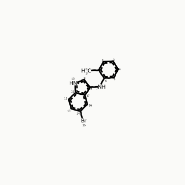 Cc1ccccc1Nc1c[nH]c2ccc(Br)cc12